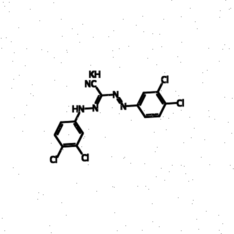 N#CC(N=Nc1ccc(Cl)c(Cl)c1)=NNc1ccc(Cl)c(Cl)c1.[KH]